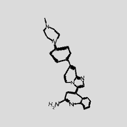 CN1CCN(c2ccc(-c3ccn4c(-c5cc(N)nc6ccccc56)cnc4c3)cc2)CC1